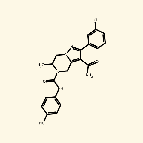 CC1Cn2nc(-c3cccc(Cl)c3)c(C(N)=O)c2CN1C(=O)Nc1ccc(C#N)cc1